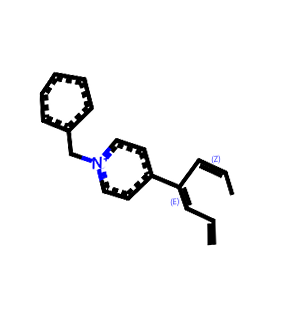 C=C/C=C(\C=C/C)c1cc[n+](Cc2ccccc2)cc1